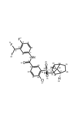 O=C(Nc1ccc(F)c(C(F)F)c1)c1ccc(Cl)c(S(=O)(=O)[C@@H]2CC3CC[C@@H](C2)[C@@]3(O)CO)c1